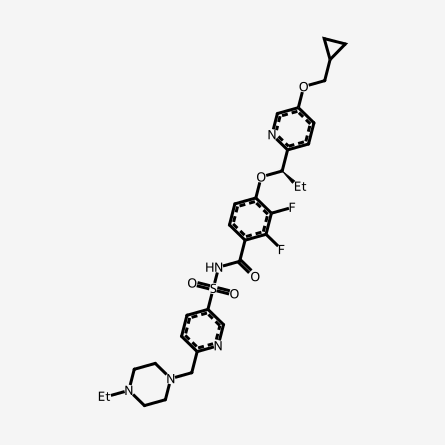 CC[C@@H](Oc1ccc(C(=O)NS(=O)(=O)c2ccc(CN3CCN(CC)CC3)nc2)c(F)c1F)c1ccc(OCC2CC2)cn1